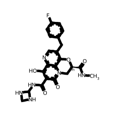 CNC(=O)[C@H]1Cn2c(=O)c(C(=O)NC3NCN3)c(O)c3ncc(Cc4ccc(F)cc4)c(c32)O1